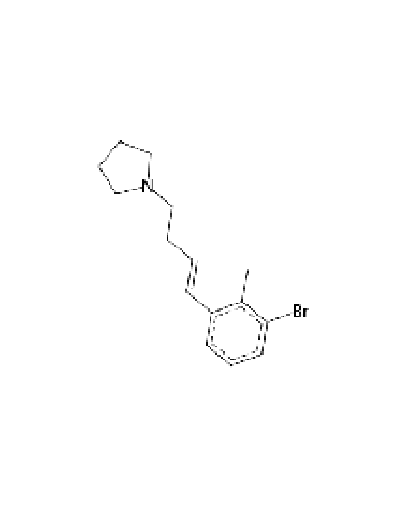 Cc1c(Br)cccc1/C=C/CCN1CCCC1